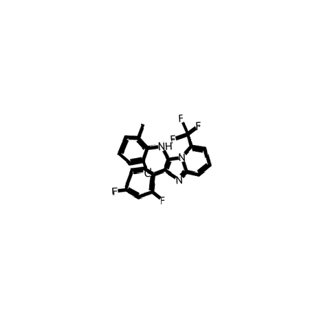 Cc1cccc(Cl)c1Nc1c(-c2ccc(F)cc2F)nc2cccc(C(F)(F)F)n12